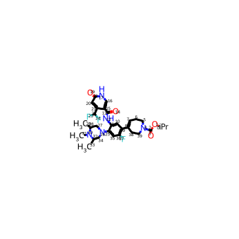 CC(C)OC(=O)N1CCC=C(c2cc(NC(=O)c3c[nH]c(=O)cc3C(F)F)c(N3CC(C)N(C)C(C)C3)cc2F)CC1